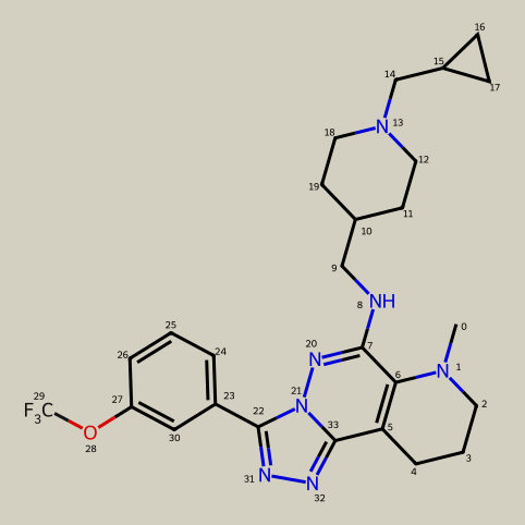 CN1CCCc2c1c(NCC1CCN(CC3CC3)CC1)nn1c(-c3cccc(OC(F)(F)F)c3)nnc21